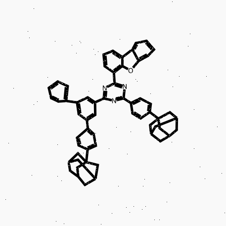 c1ccc(-c2cc(-c3ccc(C45CC6CC(CC(C6)C4)C5)cc3)cc(-c3nc(-c4ccc(C56CC7CC(CC(C7)C5)C6)cc4)nc(-c4cccc5c4oc4ccccc45)n3)c2)cc1